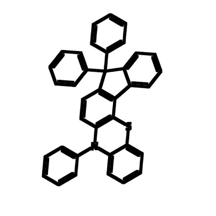 c1ccc(N2c3ccccc3Sc3c2ccc2c3-c3ccccc3C2(c2ccccc2)c2ccccc2)cc1